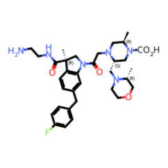 C[C@@H]1COCCN1C[C@H]1CN(C(=O)O)[C@H](C)CN1CC(=O)N1C[C@](C)(C(=O)NCCN)c2ccc(Cc3ccc(F)cc3)cc21